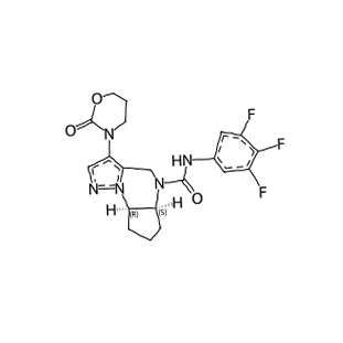 O=C1OCCCN1c1cnn2c1CN(C(=O)Nc1cc(F)c(F)c(F)c1)[C@H]1CCC[C@H]12